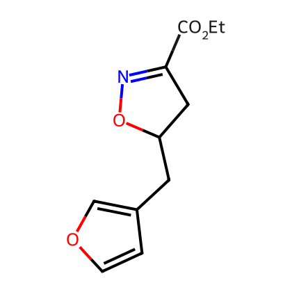 CCOC(=O)C1=NOC(Cc2ccoc2)C1